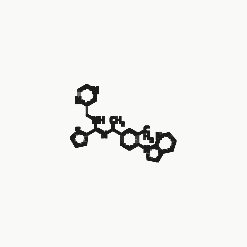 C=C(/N=C(\NCc1cnccn1)c1cccs1)c1ccc(-n2ccc3cccnc32)c(C)c1